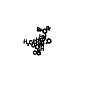 CC(C)Oc1cc(C(=O)N[C@@H](Cc2ccccc2)[C@H](O)CNCc2cc(Br)cc(Br)c2)cc(N2CCCC2=O)c1